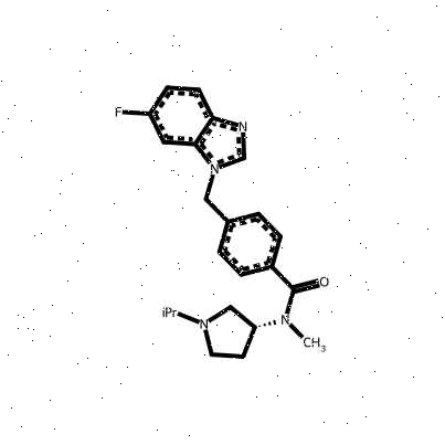 CC(C)N1CC[C@@H](N(C)C(=O)c2ccc(Cn3cnc4ccc(F)cc43)cc2)C1